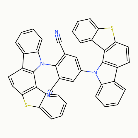 N#Cc1cc(-n2c3ccccc3c3ccc4sc5ccccc5c4c32)cc(C#N)c1-n1c2ccccc2c2ccc3sc4ccccc4c3c21